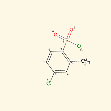 Cc1cc(Cl)ccc1S(=O)(=O)Cl